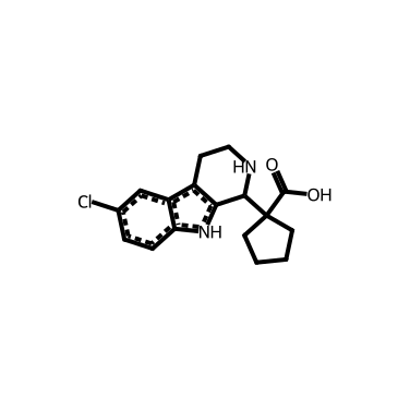 O=C(O)C1(C2NCCc3c2[nH]c2ccc(Cl)cc32)CCCC1